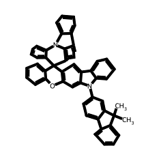 CC1(C)c2ccccc2-c2ccc(-n3c4ccccc4c4cc5c(cc43)Oc3ccccc3C53c4ccccc4-n4c5ccccc5c5cccc3c54)cc21